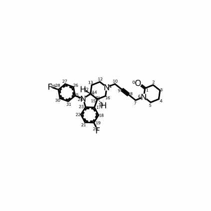 O=C1CCCCN1CC#CCN1CC[C@@H]2[C@@H](C1)c1cc(F)ccc1N2c1ccc(F)cc1